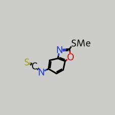 CSc1nc2cc(N=C=S)ccc2o1